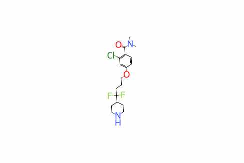 CN(C)C(=O)c1ccc(OCCCC(F)(F)C2CCNCC2)cc1Cl